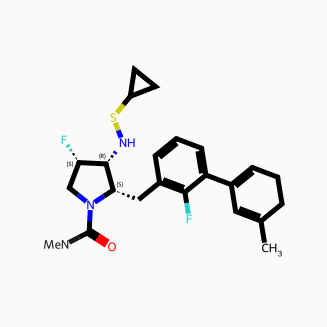 CNC(=O)N1C[C@H](F)[C@H](NSC2CC2)[C@@H]1Cc1cccc(C2=CCCC(C)=C2)c1F